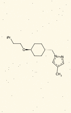 Cc1cnn(C[C@H]2CC[C@H](OCCC(C)C)CC2)c1